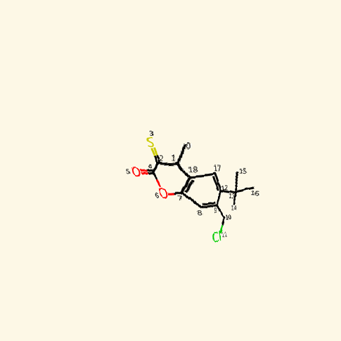 CC1C(=S)C(=O)Oc2cc(CCl)c(C(C)(C)C)cc21